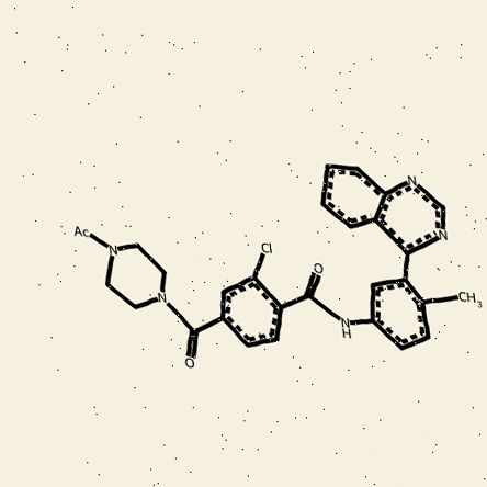 CC(=O)N1CCN(C(=O)c2ccc(C(=O)Nc3ccc(C)c(-c4ncnc5ccccc45)c3)c(Cl)c2)CC1